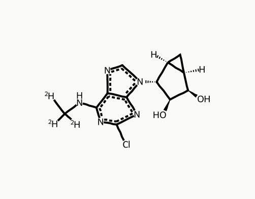 [2H]C([2H])([2H])Nc1nc(Cl)nc2c1ncn2[C@H]1[C@H](O)[C@H](O)[C@@H]2C[C@@H]21